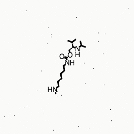 CNCCCCCCNC(=O)OC[C@H](NC(C)C)C(C)C